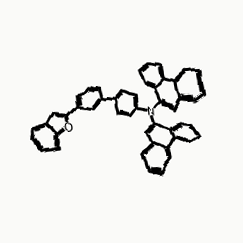 c1cc(-c2ccc(N(c3cc4ccccc4c4ccccc34)c3cc4ccccc4c4ccccc34)cc2)cc(-c2cc3ccccc3o2)c1